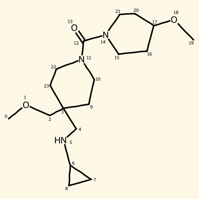 COCC1(CNC2CC2)CCN(C(=O)N2CCC(OC)CC2)CC1